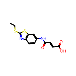 CCSc1nc2ccc(NC(=O)C=CC(=O)O)cc2s1